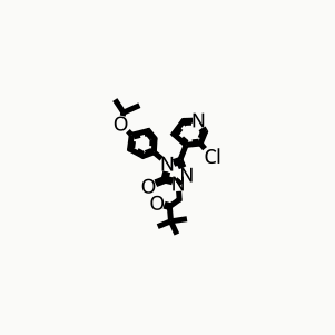 CC(C)Oc1ccc(-n2c(-c3ccncc3Cl)nn(CC(=O)C(C)(C)C)c2=O)cc1